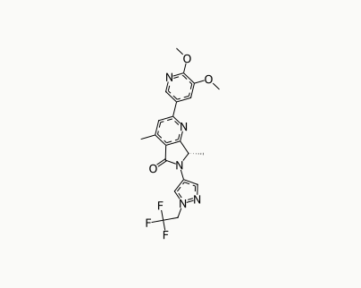 COc1cc(-c2cc(C)c3c(n2)[C@H](C)N(c2cnn(CC(F)(F)F)c2)C3=O)cnc1OC